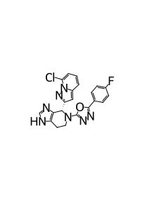 Fc1ccc(-c2nnc(N3CCc4[nH]cnc4[C@@H]3c3cc4cccc(Cl)n4n3)o2)cc1